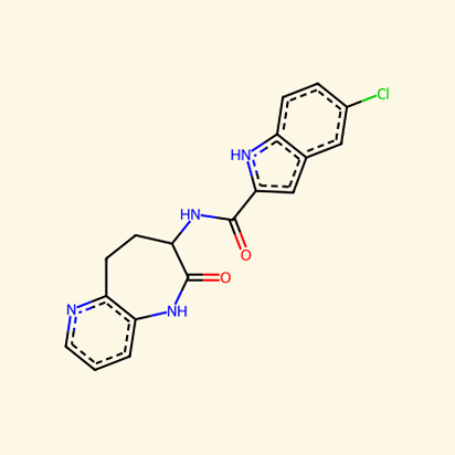 O=C(NC1CCc2ncccc2NC1=O)c1cc2cc(Cl)ccc2[nH]1